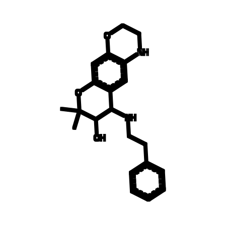 CC1(C)Oc2cc3c(cc2C(NCCc2ccccc2)C1O)NCCO3